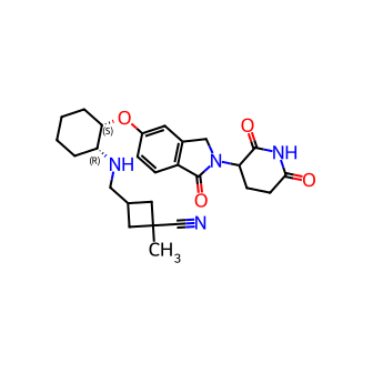 CC1(C#N)CC(CN[C@@H]2CCCC[C@@H]2Oc2ccc3c(c2)CN(C2CCC(=O)NC2=O)C3=O)C1